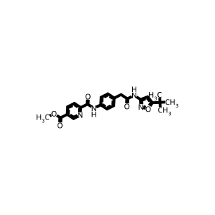 COC(=O)c1ccc(C(=O)Nc2ccc(CC(=O)Nc3cc(C(C)(C)C)on3)cc2)nc1